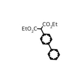 CCOC(=O)C(C(=O)OCC)c1ccc(-c2ccccc2)cc1